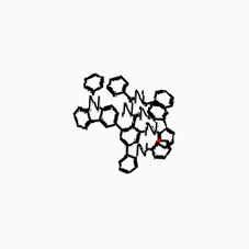 c1ccc(-c2nc(-c3ccccc3)nc(-c3c(-c4ccc5c(c4)c4ccccc4n5-c4ccccc4)cc4c5ccccc5n(-c5ccccc5)c4c3-n3c4ccccc4c4ccccc43)n2)cc1